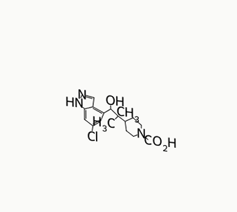 CC(C)(C1CCN(C(=O)O)CC1)C(O)c1cc(Cl)cc2[nH]ncc12